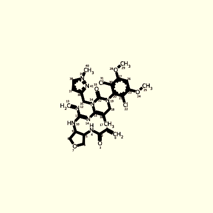 C=CC(=O)NC1COCC1N/C(N=C)=N/C1=C(C)CN(c2c(Cl)c(OC)cc(OC)c2Cl)C(=O)N1Cc1ccn(C)n1